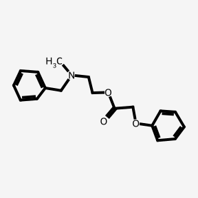 CN(CCOC(=O)COc1ccccc1)Cc1ccccc1